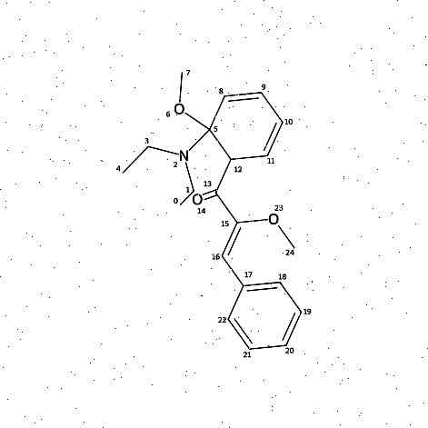 CCN(CC)C1(OC)C=CC=CC1C(=O)C(=Cc1ccccc1)OC